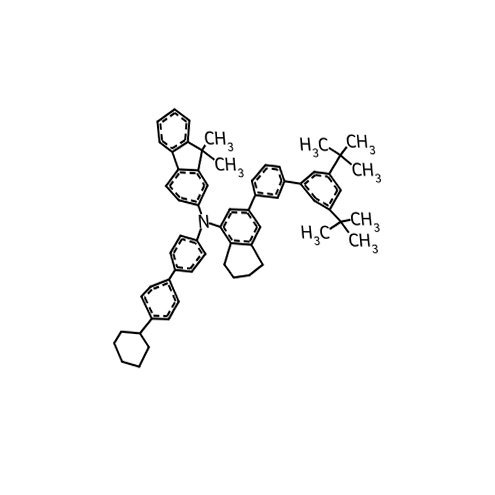 CC(C)(C)c1cc(-c2cccc(-c3cc4c(c(N(c5ccc(-c6ccc(C7CCCCC7)cc6)cc5)c5ccc6c(c5)C(C)(C)c5ccccc5-6)c3)CCCC4)c2)cc(C(C)(C)C)c1